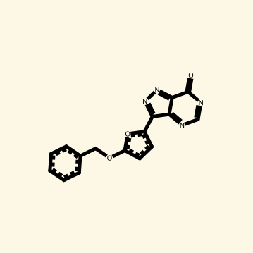 O=C1N=CN=C2C1=NN=C2c1ccc(OCc2ccccc2)o1